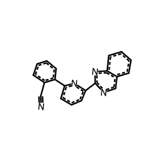 N#Cc1ccccc1-c1cccc(-c2ncc3ccccc3n2)n1